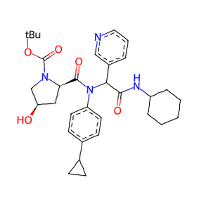 CC(C)(C)OC(=O)N1C[C@H](O)C[C@@H]1C(=O)N(c1ccc(C2CC2)cc1)C(C(=O)NC1CCCCC1)c1cccnc1